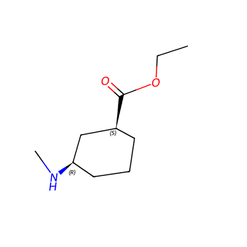 CCOC(=O)[C@H]1CCC[C@@H](NC)C1